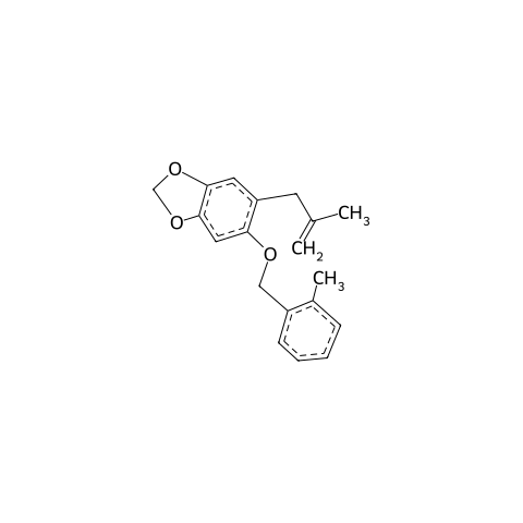 C=C(C)Cc1cc2c(cc1OCc1ccccc1C)OCO2